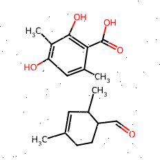 CC1=CC(C)C(C=O)CC1.Cc1cc(O)c(C)c(O)c1C(=O)O